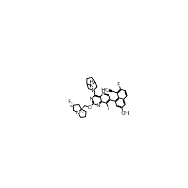 C#Cc1c(F)ccc2cc(O)cc(-c3cnc4c(N5CC6CCC(C5)N6)nc(OC[C@@]56CCCN5C[C@H](F)C6)nc4c3I)c12